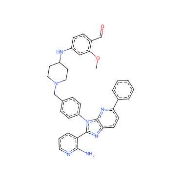 COc1cc(NC2CCN(Cc3ccc(-n4c(-c5cccnc5N)nc5ccc(-c6ccccc6)nc54)cc3)CC2)ccc1C=O